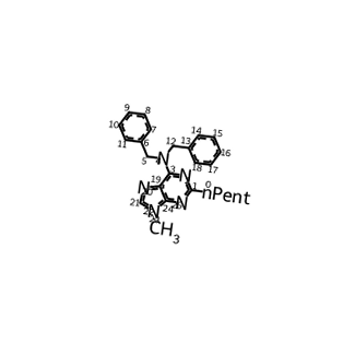 CCCCCc1nc(N(Cc2ccccc2)Cc2ccccc2)c2ncn(C)c2n1